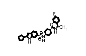 C[C@@H](NC(=O)[C@H]1CC[C@H](NS(=O)(=O)c2ccc3cc(C4CCCC4)[nH]c3c2)CC1)c1ccc(F)cc1